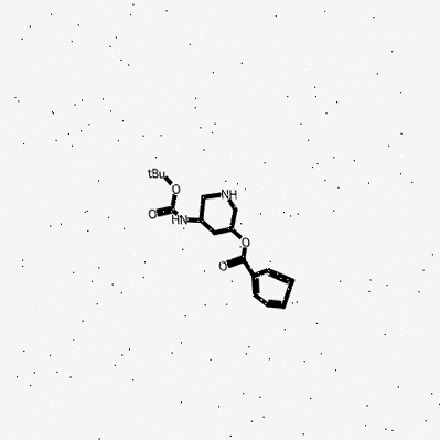 CC(C)(C)OC(=O)NC1CNCC(OC(=O)c2ccccc2)C1